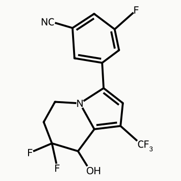 N#Cc1cc(F)cc(-c2cc(C(F)(F)F)c3n2CCC(F)(F)C3O)c1